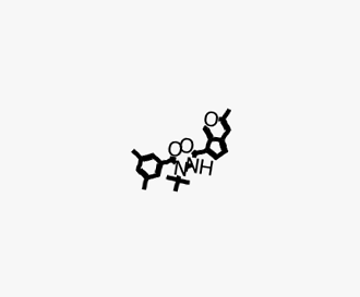 Cc1cc(C)cc(C(=O)N(NC(=O)c2ccc3cc(C)occ2-3)C(C)(C)C)c1